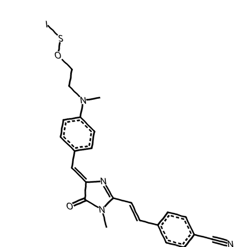 CN1C(=O)/C(=C/c2ccc(N(C)CCOSI)cc2)N=C1/C=C/c1ccc(C#N)cc1